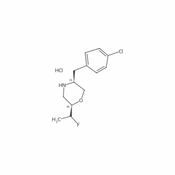 CC(F)[C@H]1CN[C@@H](Cc2ccc(Cl)cc2)CO1.Cl